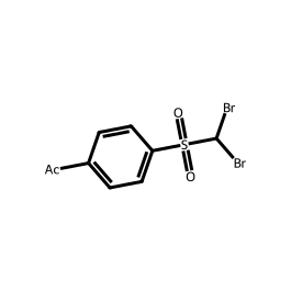 CC(=O)c1ccc(S(=O)(=O)C(Br)Br)cc1